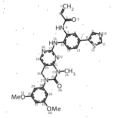 C=CC(=O)Nc1cc(-c2cncs2)ccc1Nc1ncc2c(n1)N(C)C(=O)N(c1cc(OC)cc(OC)c1)C2